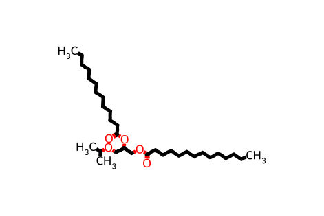 CCCCCCCCCCCCCC(=O)OCC(COC(C)C)OC(=O)CCCCCCCCCCCC